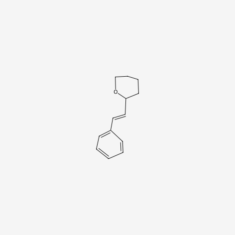 C(=CC1CCCCO1)c1ccccc1